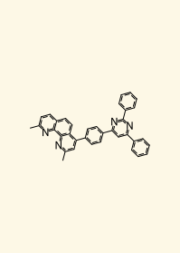 Cc1ccc2ccc3c(-c4ccc(-c5cc(-c6ccccc6)nc(-c6ccccc6)n5)cc4)cc(C)nc3c2n1